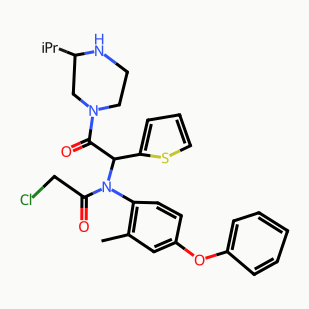 Cc1cc(Oc2ccccc2)ccc1N(C(=O)CCl)C(C(=O)N1CCNC(C(C)C)C1)c1cccs1